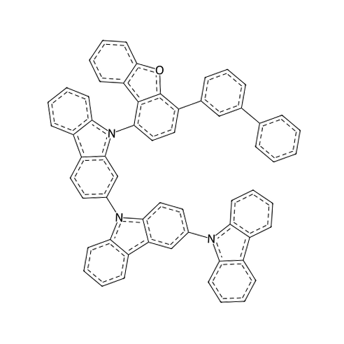 c1ccc(-c2cccc(-c3ccc(-n4c5ccccc5c5ccc(-n6c7ccccc7c7cc(-n8c9ccccc9c9ccccc98)ccc76)cc54)c4c3oc3ccccc34)c2)cc1